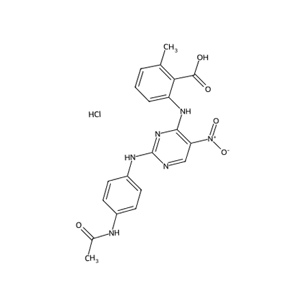 CC(=O)Nc1ccc(Nc2ncc([N+](=O)[O-])c(Nc3cccc(C)c3C(=O)O)n2)cc1.Cl